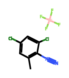 Cc1cc(Cl)cc(Cl)c1[N+]#N.F[B-](F)(F)F